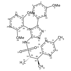 COc1cccc(-c2nnc(NS(=O)(=O)[C@@H](C)[C@H](C)c3cnc(C)cn3)n2-c2c(OC)ncnc2OC)n1